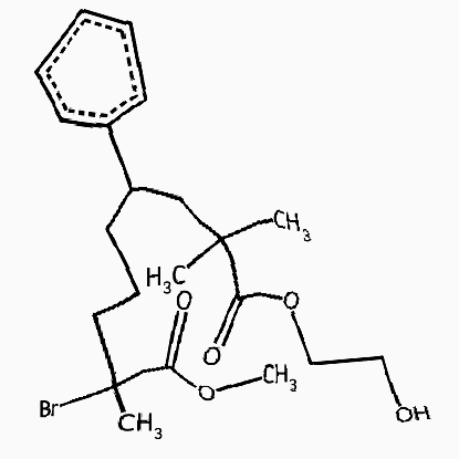 COC(=O)C(C)(Br)CCCC(CC(C)(C)C(=O)OCCO)c1ccccc1